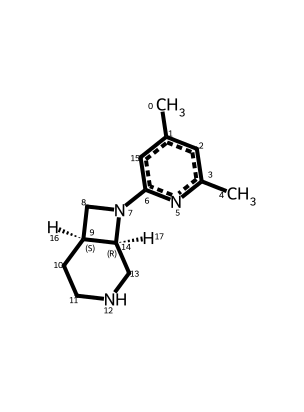 Cc1cc(C)nc(N2C[C@@H]3CCNC[C@@H]32)c1